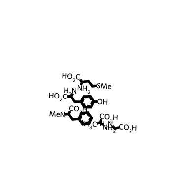 CC(N)C(=O)O.CNC(Cc1ccccc1)C(=O)O.CSCCC(N)C(=O)O.NC(Cc1ccc(O)cc1)C(=O)O.NCC(=O)O